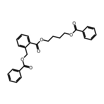 O=C(OCCCCOC(=O)c1ccccc1COC(=O)c1ccccc1)c1ccccc1